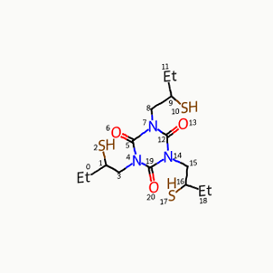 CCC(S)Cn1c(=O)n(CC(S)CC)c(=O)n(CC(S)CC)c1=O